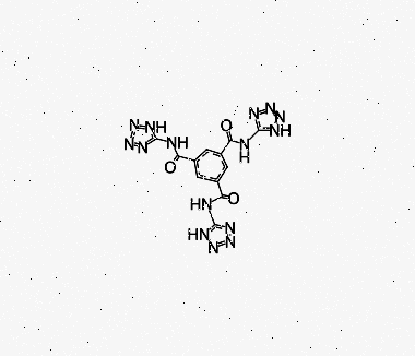 O=C(Nc1nnn[nH]1)c1cc(C(=O)Nc2nnn[nH]2)cc(C(=O)Nc2nnn[nH]2)c1